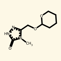 Cn1c(COC2CCCCO2)n[nH]c1=O